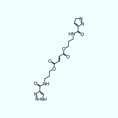 O=C(/C=C/C(=O)OCCCNC(=O)c1c[nH]nn1)OCCCNC(=O)C1=CCN=N1